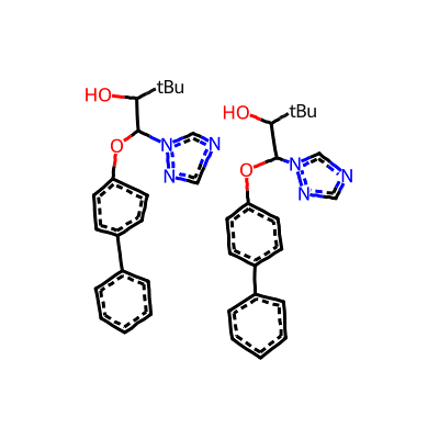 CC(C)(C)C(O)C(Oc1ccc(-c2ccccc2)cc1)n1cncn1.CC(C)(C)C(O)C(Oc1ccc(-c2ccccc2)cc1)n1cncn1